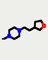 [CH2]N1CCN(CCC2CCOC2)CC1